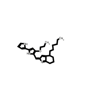 CCCCCCC1CCCC2=NC(=Cc3[nH]c(-c4ccc[nH]4)cc3OCCC)C=C21